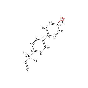 C=C[Si](C)(C)c1ccc(-c2ccc(Br)cc2)cc1